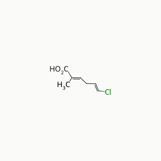 CC(=CCC=CCl)C(=O)O